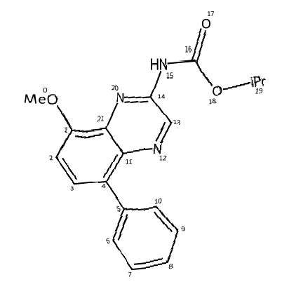 COc1ccc(-c2ccccc2)c2ncc(NC(=O)OC(C)C)nc12